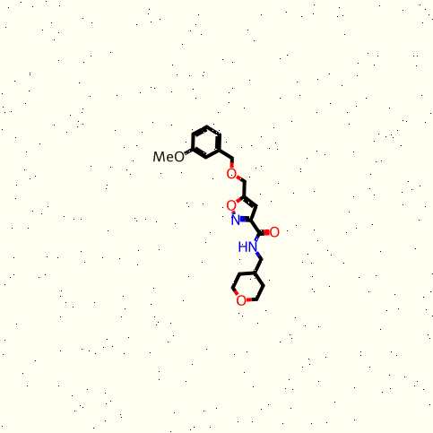 COc1cccc(COCc2cc(C(=O)NCC3CCOCC3)no2)c1